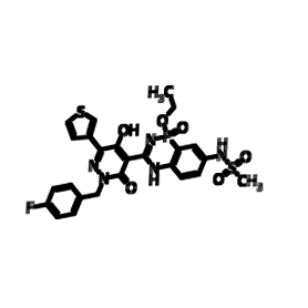 CCOP1(=O)N=C(c2c(O)c(-c3ccsc3)nn(Cc3ccc(F)cc3)c2=O)Nc2ccc(NS(C)(=O)=O)cc21